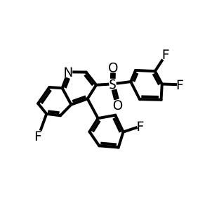 O=S(=O)(c1ccc(F)c(F)c1)c1cnc2ccc(F)cc2c1-c1cccc(F)c1